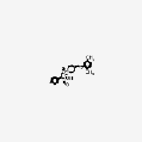 Cc1ccc(C)c(OCC2CCN(S(=O)(=O)CC(c3ccc(F)cc3)N(O)C=O)CC2)c1